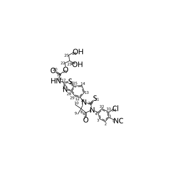 [C-]#[N+]c1ccc(N2C(=O)C(C)(C)N(c3ccc4sc(NC(=O)OCC(O)CO)nc4c3)C2=S)cc1Cl